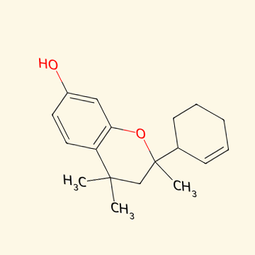 CC1(C)CC(C)(C2C=CCCC2)Oc2cc(O)ccc21